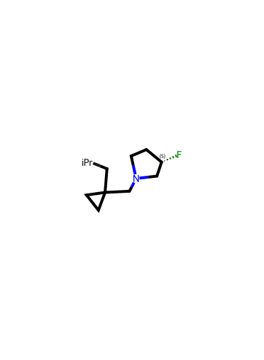 CC(C)CC1(CN2CC[C@H](F)C2)CC1